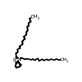 CCCCCCCCCCCCCCCCCCc1nc2ccccc2n1CCCCCCCCCCCCCCCCC